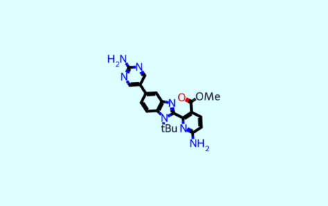 COC(=O)c1ccc(N)nc1-c1nc2cc(-c3cnc(N)nc3)ccc2n1C(C)(C)C